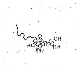 CCCCC/C=C\C/C=C\C/C=C\C/C=C\CCCC(=O)OCC(CO[C@H]1C[C@@H](O)C[C@@H](CO)O1)O[C@H]1C[C@@H](OC)[C@H](O)[C@@H](CO)O1